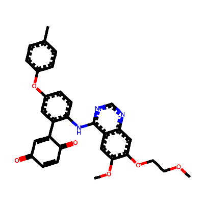 COCCOc1cc2ncnc(Nc3ccc(Oc4ccc(C)cc4)cc3C3=CC(=O)C=CC3=O)c2cc1OC